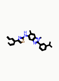 C=C/C=C(\C=C/C)c1csc(Nc2cc3nc(-c4cccc(C(C)C)c4)n(C)c3cc2C)n1